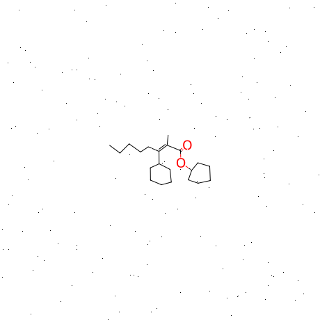 CCCCCC(=C(C)C(=O)OC1CCCCC1)C1CCCCC1